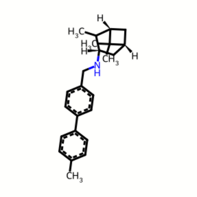 Cc1ccc(-c2ccc(CN[C@H]3C[C@H]4C[C@@H](C3C)C4(C)C)cc2)cc1